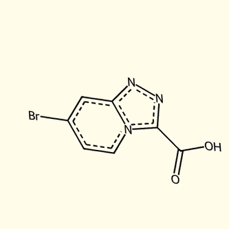 O=C(O)c1nnc2cc(Br)ccn12